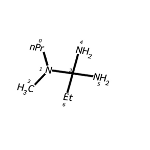 CCCN(C)C(N)(N)CC